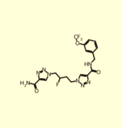 NC(=O)c1cn(CC(F)CCn2cc(C(=O)NCc3cccc(OC(F)(F)F)c3)nn2)nn1